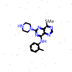 CSc1ncnc2c(Nc3ccccc3C)nc(N3CCNCC3)nc12